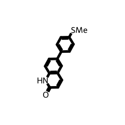 CSc1ccc(-c2ccc3[nH]c(=O)ccc3c2)cc1